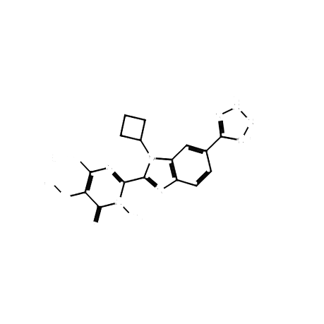 CCOC(=O)c1nc(-c2nc3ccc(C4=NNNN4)cc3n2C2CCC2)n(C)c(=O)c1OCC